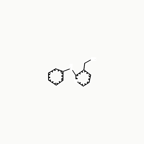 N#CCc1cccnc1Nc1ccccc1